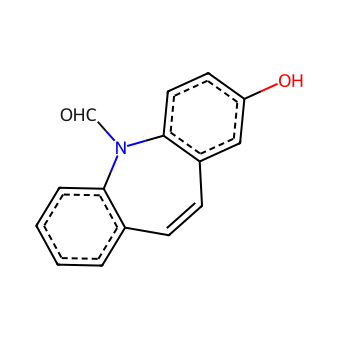 O=CN1c2ccccc2C=Cc2cc(O)ccc21